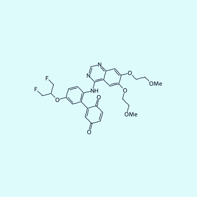 COCCOc1cc2ncnc(Nc3ccc(OC(CF)CF)cc3C3=CC(=O)C=CC3=O)c2cc1OCCOC